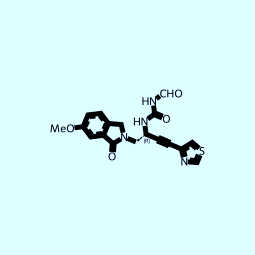 COc1ccc2c(c1)C(=O)N(C[C@@H](C#Cc1cscn1)NC(=O)NC=O)C2